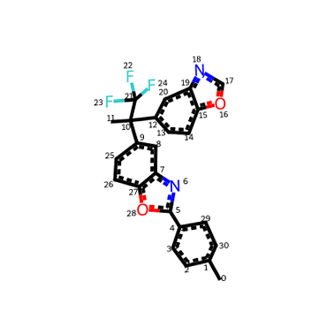 Cc1ccc(-c2nc3cc(C(C)(c4ccc5ocnc5c4)C(F)(F)F)ccc3o2)cc1